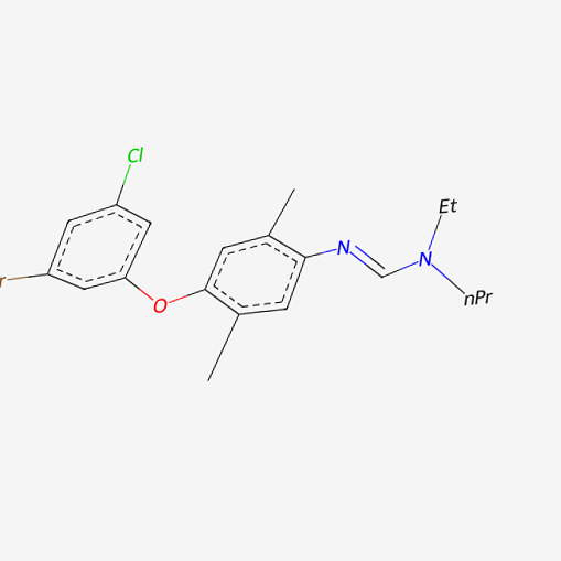 CCCN(C=Nc1cc(C)c(Oc2cc(Cl)cc(Br)c2)cc1C)CC